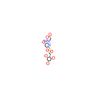 COC(=O)/C=C\Nc1nc(CS(=O)(=O)/C=C/c2c(OC)cc(OC)cc2OC)ccc1OC